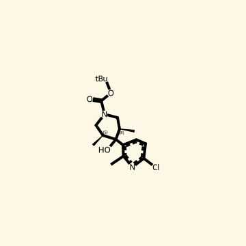 Cc1nc(Cl)ccc1C1(O)[C@H](C)CN(C(=O)OC(C)(C)C)C[C@@H]1C